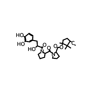 CCC1CCC(C)(OC(=O)C2CCCN2C(=O)C2CCCN2C(=O)C(O)Cc2ccc(O)c(O)c2)C1(C)C